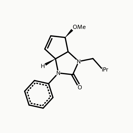 CO[C@@H]1C=C[C@@H]2C1N(CC(C)C)C(=O)N2c1ccccc1